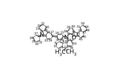 CC1(C)c2ccccc2-c2c(N(c3ccc(C4=CC5c6ccccc6N(c6ccccc6)C5C=C4)cc3)c3cccc4c3oc3ccc5ccccc5c34)cccc21